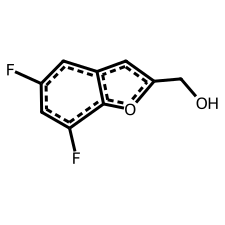 OCc1cc2cc(F)cc(F)c2o1